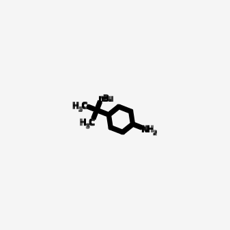 CCCCC(C)(C)C1CCC(N)CC1